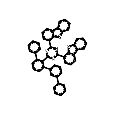 c1ccc(-c2cccc(-c3cccc(-c4ccccc4)c3-c3nc(-c4cccc5c4sc4ccccc45)nc(-c4cccc5c4sc4ccccc45)n3)c2)cc1